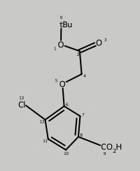 CC(C)(C)OC(=O)COc1cc(C(=O)O)ccc1Cl